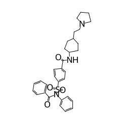 O=C(NC1CCC(CCN2CCCC2)CC1)c1ccc(S(=O)(=O)N(C(=O)c2ccccc2)c2ccccc2)cc1